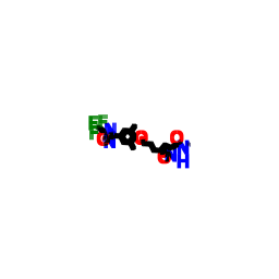 CNC(=O)c1cc(CCCOc2c(C)cc(-c3noc(C(F)(F)F)n3)cc2C)on1